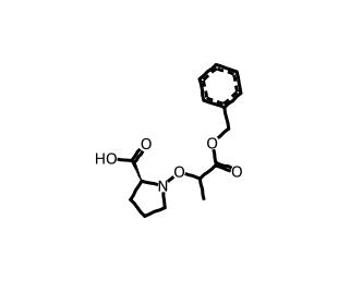 CC(ON1CCC[C@H]1C(=O)O)C(=O)OCc1ccccc1